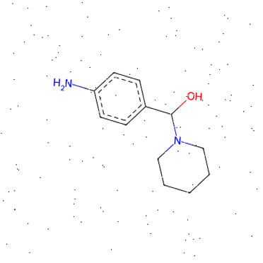 Nc1ccc(C(O)N2CCCCC2)cc1